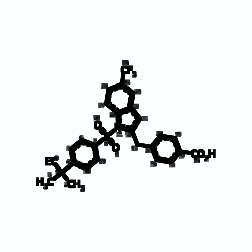 CCC(C)(C)c1ccc(S(=O)(=O)n2c(Cc3ccc(C(=O)O)cc3)cc3cc(C(F)(F)F)ccc32)cc1